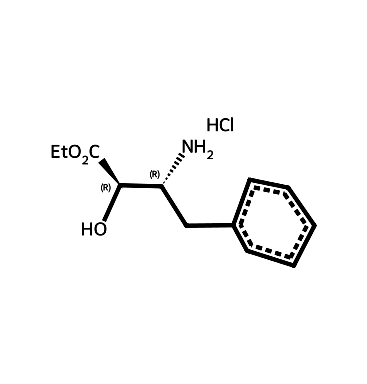 CCOC(=O)[C@H](O)[C@H](N)Cc1ccccc1.Cl